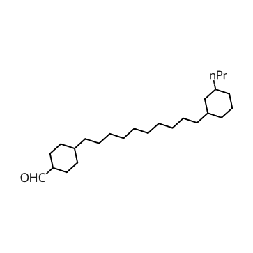 CCCC1CCCC(CCCCCCCCCCC2CCC(C=O)CC2)C1